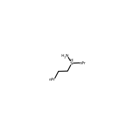 CCCCC[SiH](N)CCC